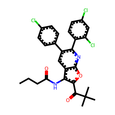 CCCC(=O)Nc1c(C(=O)C(C)(C)C)oc2nc(-c3ccc(Cl)cc3Cl)c(-c3ccc(Cl)cc3)cc12